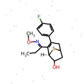 CCC(=NOC)C1=C(c2ccc(F)cc2)CC2CC(O)[C@@H]1S2